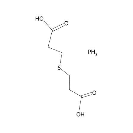 O=C(O)CCSCCC(=O)O.P